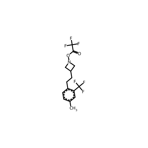 Cc1ccc(CCC2CN(OC(=O)C(F)(F)F)C2)c(C(F)(F)F)c1